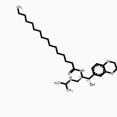 CCCCCCCCCCCCCCCC(=O)N[C@H](CNC(C)C)[C@@H](O)c1ccc2c(c1)OCCO2